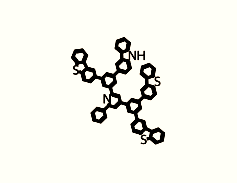 c1ccc(-c2cc(-c3cc(-c4ccc5sc6ccccc6c5c4)cc(-c4ccc5sc6ccccc6c5c4)c3)cc(-c3cc(-c4ccc5[nH]c6ccccc6c5c4)cc(-c4ccc5sc6ccccc6c5c4)c3)n2)cc1